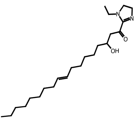 CCCCCCCCC=CCCCCCC(O)CC(=O)C1=NCCN1CC